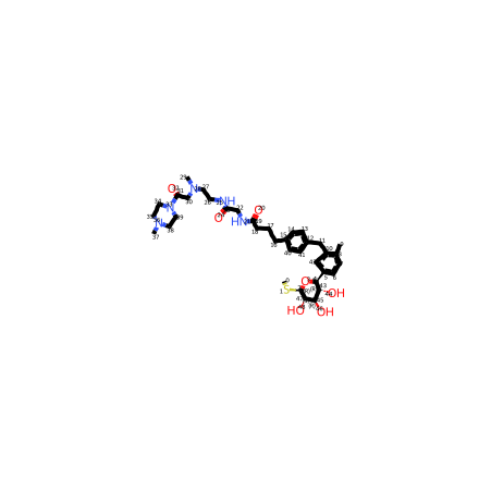 CS[C@H]1O[C@@H](c2ccc(C)c(Cc3ccc(CCCC(=O)NCC(=O)NCCN(C)CC(=O)N4CCN(C)CC4)cc3)c2)[C@H](O)[C@@H](O)[C@@H]1O